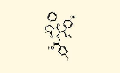 NC(c1ccc(O)cc1)C(CC/C(=N/O)c1ccc(F)cc1)C(=O)N1C(=O)OC[C@@H]1c1ccccc1